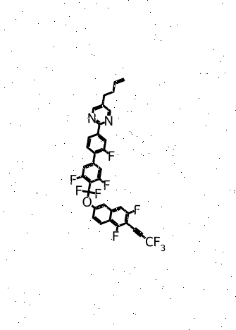 C=CCCc1cnc(-c2ccc(-c3cc(F)c(C(F)(F)Oc4ccc5c(F)c(C#CC(F)(F)F)c(F)cc5c4)c(F)c3)c(F)c2)nc1